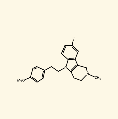 COc1ccc(CCn2c3c(c4cc(Cl)ccc42)CN(C)CC3)cc1